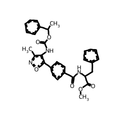 COC(=O)C(Cc1ccccc1)NC(=O)c1ccc(-c2onc(C)c2NC(=O)OC(C)c2ccccc2)cc1